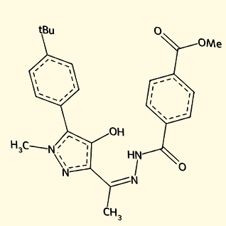 COC(=O)c1ccc(C(=O)NN=C(C)c2nn(C)c(-c3ccc(C(C)(C)C)cc3)c2O)cc1